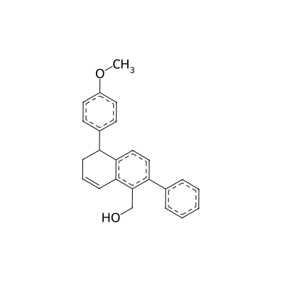 COc1ccc(C2CC=Cc3c2ccc(-c2ccccc2)c3CO)cc1